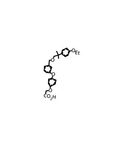 CCOc1ccc(C(C)(C)COCc2cccc(Oc3ccc(OCC(=O)O)cc3)c2)cc1